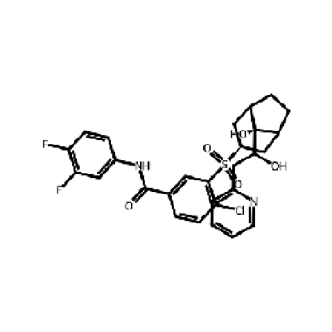 O=C(Nc1ccc(F)c(F)c1)c1ccc(Cl)c(S(=O)(=O)[C@H]2CC3CCC(C2)[C@]3(O)C(O)Cc2ccccn2)c1